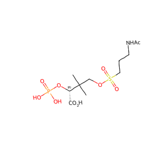 CC(=O)NCCCS(=O)(=O)OCC(C)(C)[C@@H](OP(=O)(O)O)C(=O)O